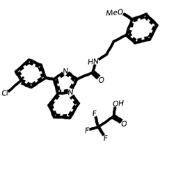 COc1ccccc1CCNC(=O)c1nc(-c2cccc(Cl)c2)c2ccccn12.O=C(O)C(F)(F)F